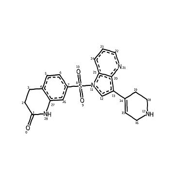 O=C1CCc2ccc(S(=O)(=O)n3cc(C4=CCNCC4)c4ncccc43)cc2N1